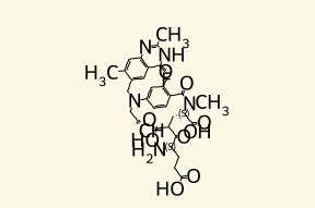 C#CCN(Cc1cc2c(=O)[nH]c(C)nc2cc1C)c1ccc(C(=O)N(C)[C@@H](CC(C(=O)O)C(=O)[C@@H](N)CCC(=O)O)C(=O)O)c(F)c1